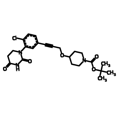 CC(C)(C)OC(=O)N1CCC(OCC#Cc2ccc(Cl)c(N3CCC(=O)NC3=O)c2)CC1